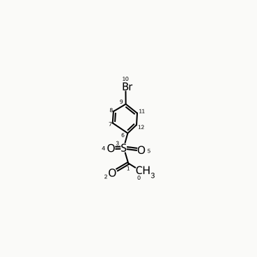 CC(=O)S(=O)(=O)c1ccc(Br)cc1